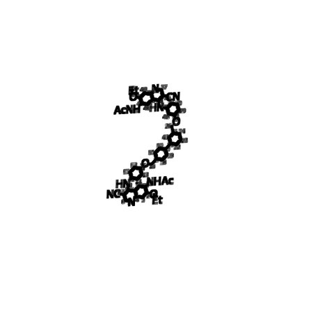 CCOc1cc2ncc(C#N)c(Nc3ccc(OCc4ccc(-c5cccc(COc6cccc(Nc7c(C#N)cnc8cc(OCC)c(NC(C)=O)cc78)c6)c5)cc4)cc3)c2cc1NC(C)=O